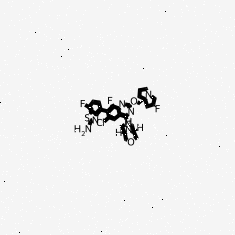 Nc1nc2c(-c3c(Cl)cc4c(N5C[C@H]6COC[C@@H](C5)N6)nc(OC[C@@]56CCCN5C[C@H](F)C6)nc4c3F)ccc(F)c2s1